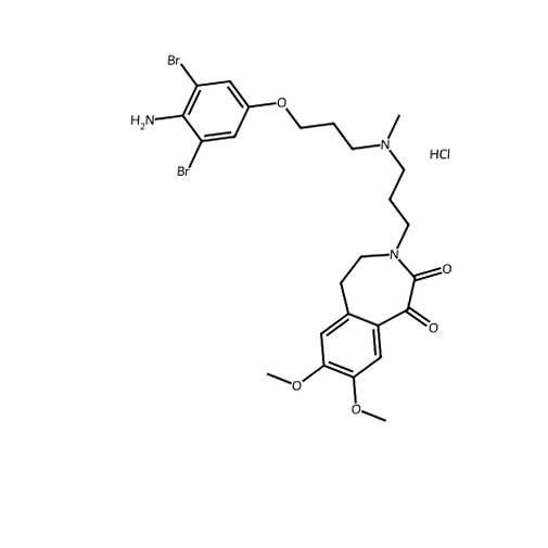 COc1cc2c(cc1OC)C(=O)C(=O)N(CCCN(C)CCCOc1cc(Br)c(N)c(Br)c1)CC2.Cl